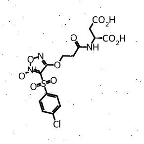 O=C(O)C[C@H](NC(=O)CCOc1no[n+]([O-])c1S(=O)(=O)c1ccc(Cl)cc1)C(=O)O